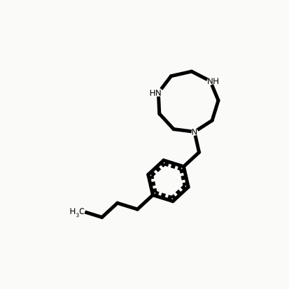 CCCCc1ccc(CN2CCNCCNCC2)cc1